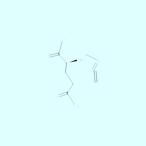 CN=C=O.N[C@@H](CCC(=O)O)C(=O)O